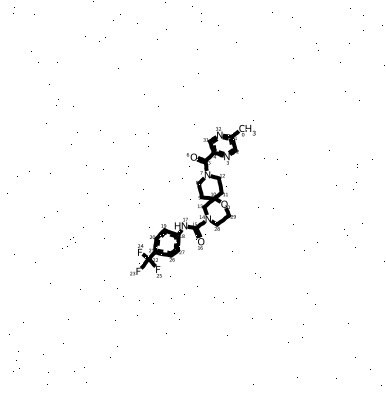 Cc1cnc(C(=O)N2CCC3(CC2)CN(C(=O)Nc2ccc(C(F)(F)F)cc2)CCO3)cn1